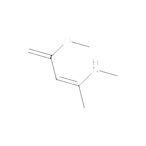 C=C(C=C(C)NC)OC